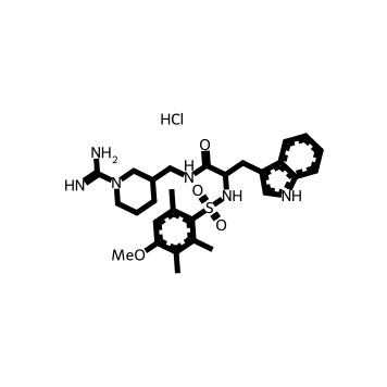 COc1cc(C)c(S(=O)(=O)NC(Cc2c[nH]c3ccccc23)C(=O)NCC2CCCN(C(=N)N)C2)c(C)c1C.Cl